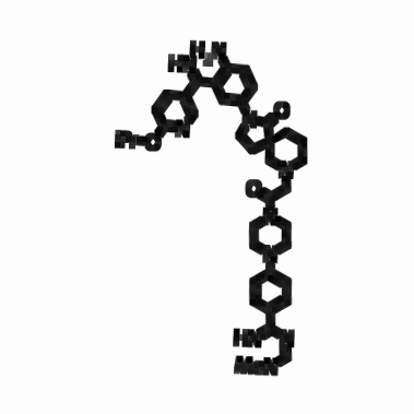 CN/C=N\C(=N)c1ccc(N2CCN(C(=O)CN3CCC[C@]4(CCN(c5ccc(N)c(C(=N)c6ccc(OC(C)C)nc6)c5)C4=O)C3)CC2)cc1